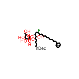 CCCCCCCCCCCCCC[C@@H](O)[C@@H](O)[C@@H](/C=C(/F)CCCCCCCCCCC12CCC(CC1)CC2)COC1OC(CO)C(O)C(O)C1O